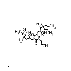 C=CCn1c(=O)n(CC(O)CC(C)(CC)CCC)c(=O)n(CC(O)CC(C)(CCC)CCC)c1=O